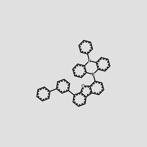 c1ccc(-c2cccc(-c3cccc4c3oc3c(B5c6ccccc6N(c6ccccc6)c6ccccc65)cccc34)c2)cc1